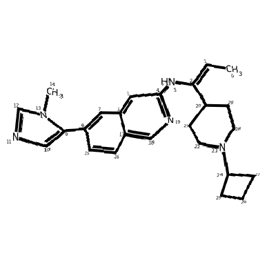 C/C=C(/Nc1cc2cc(-c3cncn3C)ccc2cn1)C1CCN(C2CCC2)CC1